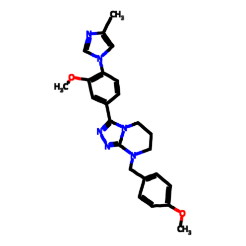 COc1ccc(CN2CCCn3c(-c4ccc(-n5cnc(C)c5)c(OC)c4)nnc32)cc1